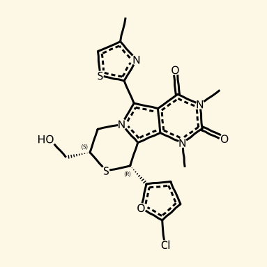 Cc1csc(-c2c3c(=O)n(C)c(=O)n(C)c3c3n2C[C@@H](CO)S[C@H]3c2ccc(Cl)o2)n1